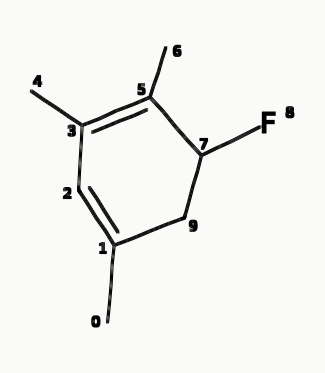 CC1=CC(C)=C(C)C(F)C1